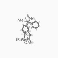 CO[Si](c1ccccc1)(c1cccc(CN(C)[Si](OC)(C(C)(C)C)C(C)(C)C)c1)N(C)C